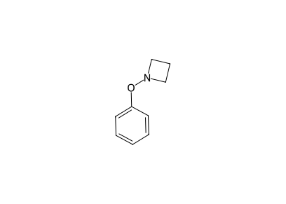 c1ccc(ON2CCC2)cc1